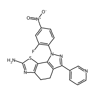 Nc1nc2c(s1)-c1c(c(-c3cccnc3)nn1-c1ccc([N+](=O)[O-])cc1F)CC2